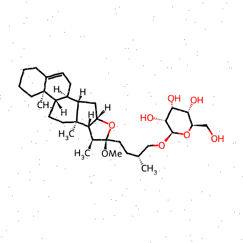 CO[C@]1(CC[C@@H](C)CO[C@@H]2O[C@H](CO)[C@@H](O)[C@@H](O)[C@H]2O)O[C@H]2C[C@H]3[C@@H]4CC=C5C[CH]CC[C@]5(C)[C@H]4CC[C@]3(C)[C@H]2[C@@H]1C